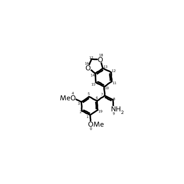 COc1cc(OC)cc(/C(=C\N)c2ccc3c(c2)OCO3)c1